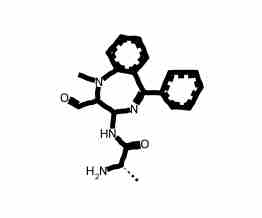 C[C@H](N)C(=O)NC1N=C(c2ccccc2)c2ccccc2N(C)C1C=O